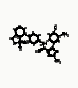 Nc1cc(-n2nc(C(F)(F)F)cc2C(=O)Nc2ccc(-c3cccc4c3S(=O)(=O)CC4)cc2)ccc1Cl